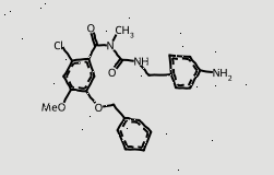 COc1cc(Cl)c(C(=O)N(C)C(=O)NCc2ccc(N)cc2)cc1OCc1ccccc1